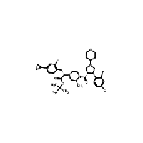 C[C@H]1CN([C@@H](Cc2ccc(C3CC3)cc2F)C(=O)OC(C)(C)C)CCN1C(=O)[C@@H]1CN(C2CCOCC2)C[C@H]1c1ccc(Cl)cc1F